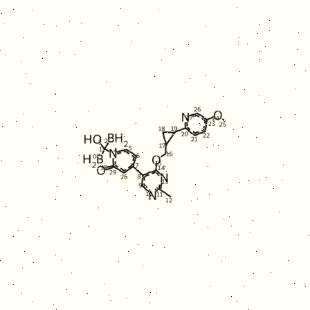 BC(B)(O)n1ccc(-c2cnc(C)nc2OCC2CC2c2ccc(OC)cn2)cc1=O